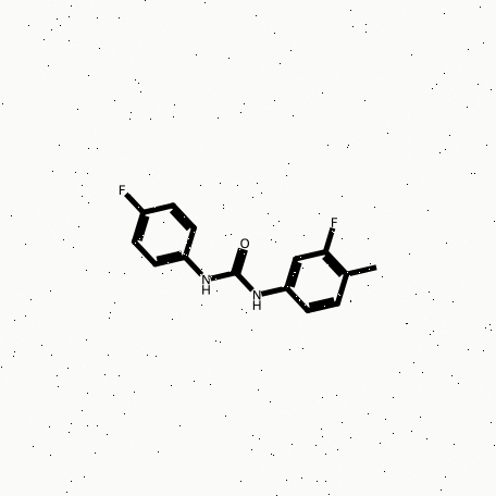 Cc1ccc(NC(=O)Nc2ccc(F)cc2)cc1F